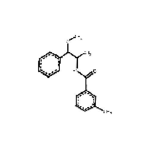 COC(c1ccccc1)C(C)NC(=O)c1cccc(C)c1